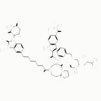 C[C@@H](OCc1ccccc1)[C@H](CCC(N)O)NC(=O)[C@@H]1CC[C@@H]2CCN(C(=O)CCCCCCc3ccc4c(c3)n(C)c(=O)n4C3CCC(=O)NC3=O)C[C@H](NC(=O)c3cc4cc(C(=O)P(=O)(O)O)ccc4[nH]3)C(=O)N21